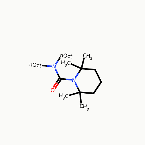 CCCCCCCCN(CCCCCCCC)C(=O)N1C(C)(C)CCCC1(C)C